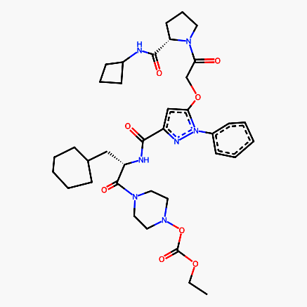 CCOC(=O)ON1CCN(C(=O)[C@H](CC2CCCCC2)NC(=O)c2cc(OCC(=O)N3CCC[C@H]3C(=O)NC3CCC3)n(-c3ccccc3)n2)CC1